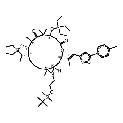 CC[Si](CC)(CC)O[C@H]1[C@@H](C)CCC[C@]2(C)[C@H](C[C@@H](/C(C)=C/c3cc(-c4ccc(F)cc4)on3)OC(=O)C[C@H](O[Si](CC)(CC)CC)C(C)(C)C(=O)[C@@H]1C)N2CCO[Si](C)(C)C(C)(C)C